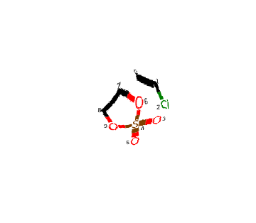 C=CCl.O=S1(=O)OCCO1